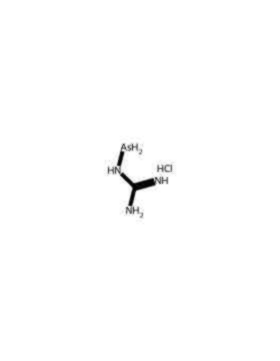 Cl.N=C(N)N[AsH2]